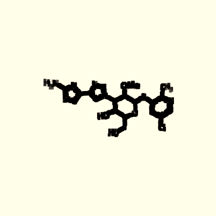 COC1C(Sc2cc(Cl)cnc2C)OC(CO)C(O)C1n1cc(-c2csc(N)n2)nn1